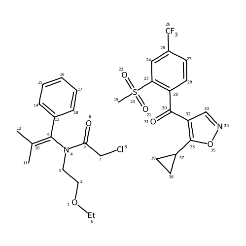 CCOCCN(C(=O)CCl)C(=C(C)C)c1ccccc1.CS(=O)(=O)c1cc(C(F)(F)F)ccc1C(=O)c1cnoc1C1CC1